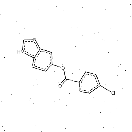 O=C(Oc1ccc2[nH]cnc2c1)c1ccc(Cl)cc1